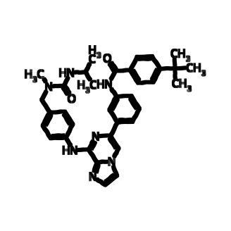 CC(C)NC(=O)N(C)Cc1ccc(Nc2nc(-c3cccc(NC(=O)c4ccc(C(C)(C)C)cc4)c3)cn3ccnc23)cc1